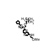 COCCNc1cnc2ccc(N(COCC[Si](C)(C)C)c3nnc(C4CCCC4)s3)nc2c1